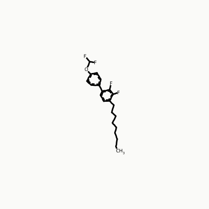 CCCCCCCCCc1ccc(-c2ccc(OC(F)F)cc2)c(F)c1F